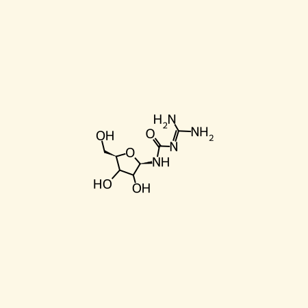 NC(N)=NC(=O)N[C@@H]1O[C@H](CO)C(O)C1O